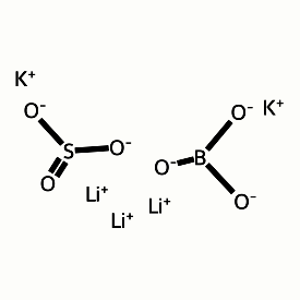 O=S([O-])[O-].[K+].[K+].[Li+].[Li+].[Li+].[O-]B([O-])[O-]